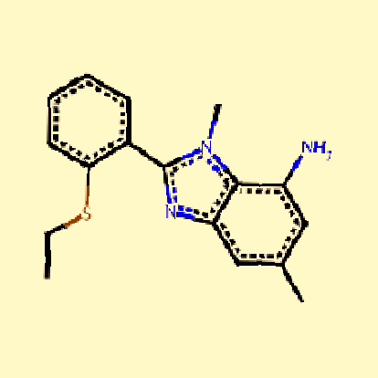 CCSc1ccccc1-c1nc2cc(C)cc(N)c2n1C